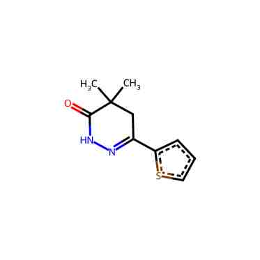 CC1(C)CC(c2cccs2)=NNC1=O